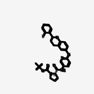 CC(C)(C)OC(=O)N1CCC[C@H]1C(=O)Nc1ccc(Oc2ccc3c(c2)CCC(c2ccccc2F)O3)nc1